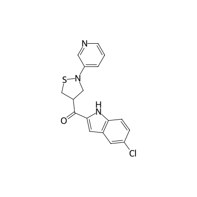 O=C(c1cc2cc(Cl)ccc2[nH]1)C1CSN(c2cccnc2)C1